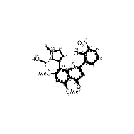 COc1cc(OC)c2c(=O)cc(-c3cccc([N+](=O)[O-])c3Cl)oc2c1[C@@H]1CCN(C)[C@H]1CO